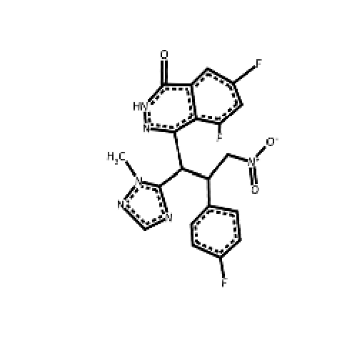 Cn1ncnc1C(c1n[nH]c(=O)c2cc(F)cc(F)c12)C(C[N+](=O)[O-])c1ccc(F)cc1